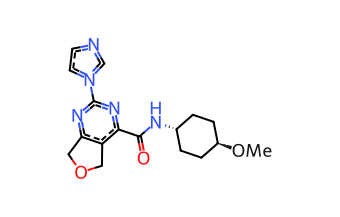 CO[C@H]1CC[C@H](NC(=O)c2nc(-n3ccnc3)nc3c2COC3)CC1